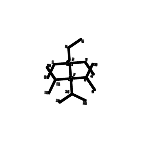 C[CH2][Sn]([CH2]C)([CH2]C)[Si](C(C)C)(C(C)C)C(C)C